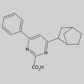 O=C(O)c1nc(-c2ccccc2)cc(C2CC3CCC2C3)n1